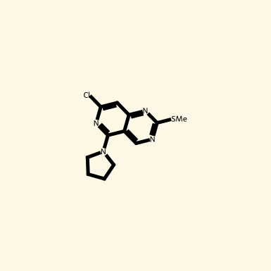 CSc1ncc2c(N3CCCC3)nc(Cl)cc2n1